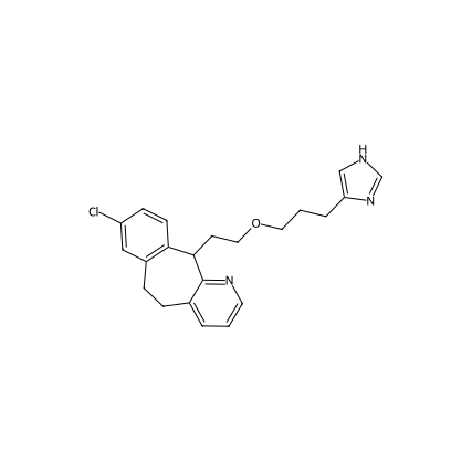 Clc1ccc2c(c1)CCc1cccnc1C2CCOCCCc1c[nH]cn1